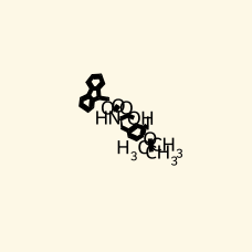 CC(C)(C)Oc1ccc(C[C@@H](NC(=O)OCC2c3ccccc3-c3ccccc32)C(=O)O)cc1I